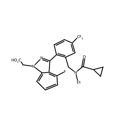 CCN(Cc1cc(C(F)(F)F)ccc1-c1nn(CC(=O)O)c2cccc(F)c12)C(=O)C1CC1